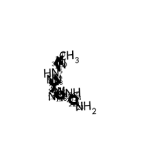 Cn1ccc(CNc2ncc(-c3cnc4ccc(N[C@H]5CC[C@H](N)CC5)nn34)cn2)n1